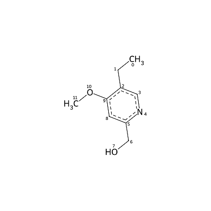 CCc1cnc(CO)cc1OC